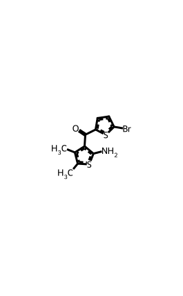 Cc1sc(N)c(C(=O)c2ccc(Br)s2)c1C